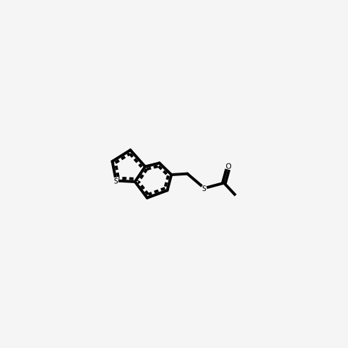 CC(=O)SCc1ccc2sccc2c1